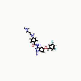 CN(C)CCCN(C)c1ccc(C(=O)Nc2n[nH]c3ccc(OCc4cc(F)cc(F)c4)cc23)cc1